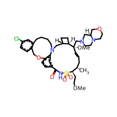 COCC[C@@H]1[C@@H](C)C/C=C/[C@@](CN2CCN3CCOC[C@@H]3C2)(OC)[C@@H]2CC[C@H]2CN2CCCCc3cc(Cl)ccc3COc3ccc(cc32)C(=O)NS1(=O)=O